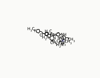 C=CC(c1ccc(C(=O)CC2CCN(CC)CC2)cc1)C1C(NC2=CCC(NC(O)CC(CC)C(C)/C=C(\ON)C(C)(C)C)C=C2)=NC[C@@H](C)CC1N